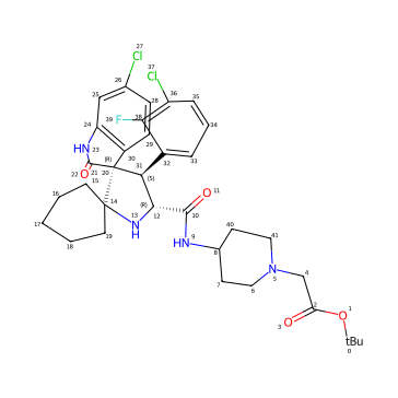 CC(C)(C)OC(=O)CN1CCC(NC(=O)[C@@H]2NC3(CCCCC3)[C@@]3(C(=O)Nc4cc(Cl)ccc43)[C@H]2c2cccc(Cl)c2F)CC1